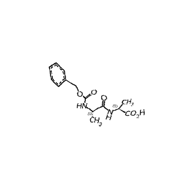 C[C@H](NC(=O)[C@H](C)NC(=O)OCc1ccccc1)C(=O)O